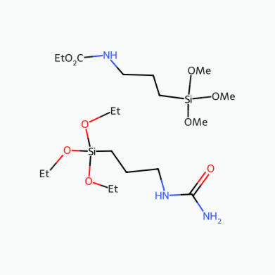 CCOC(=O)NCCC[Si](OC)(OC)OC.CCO[Si](CCCNC(N)=O)(OCC)OCC